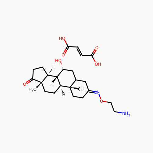 C[C@]12CCC(=NOCCN)CC1C[C@@H](O)[C@@H]1[C@@H]2CC[C@]2(C)C(=O)CC[C@@H]12.O=C(O)/C=C/C(=O)O